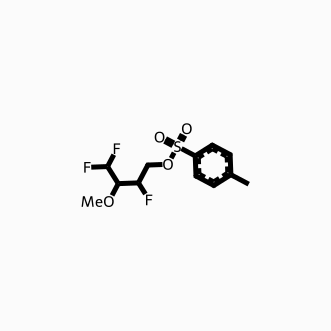 COC(C(F)F)C(F)COS(=O)(=O)c1ccc(C)cc1